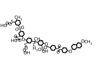 COc1ccc2cc(Oc3ccc(S(=O)(=O)c4ccc(COc5ccc(C(C)(C)c6ccc(Oc7ccc(S(=O)(=O)c8ccc(C)c(SOOO)c8)cc7S(=O)(=O)O)c(SOOO)c6)cc5S(=O)(=O)O)cc4)cc3)ccc2c1